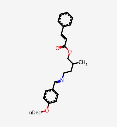 CCCCCCCCCCOc1ccc(C=NCCC(C)COC(=O)C=Cc2ccccc2)cc1